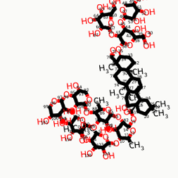 CC(=O)OC1C(C)OC(OC2C(C)OC(OC(=O)[C@]34CCC(C)(C)CC3C3=CCC5[C@@]6(C)CC[C@H](OC7OC(C(=O)O)C(O)C(OC8OCC(O)C(O)C8O)C7OC7OC(CO)C(O)C(O)C7O)[C@@](C)(C=O)C6CC[C@@]5(C)[C@]3(C)C[C@H]4O)C(OC3OC(C)C(OC4OCC(O)C(OC5OCC(O)C(O)C5O)C4O)C(OC4OCC(O)C(O)C4O)C3O)C2O)C(O)C1O